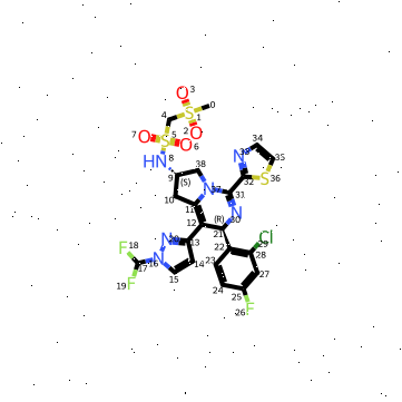 CS(=O)(=O)CS(=O)(=O)N[C@H]1CC2=C(c3ccn(C(F)F)n3)[C@H](c3ccc(F)cc3Cl)N=C(c3nccs3)N2C1